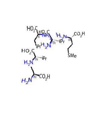 CC(C)C[C@H](N)C(=O)O.CC(C)[C@H](N)C(=O)O.CC(C)[C@H](N)C(=O)O.CSCC[C@H](N)C(=O)O.C[C@H](N)C(=O)O